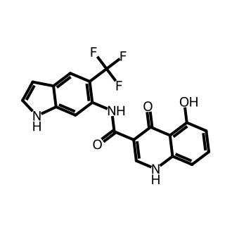 O=C(Nc1cc2[nH]ccc2cc1C(F)(F)F)c1c[nH]c2cccc(O)c2c1=O